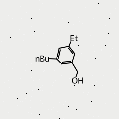 CCCCc1cc(CC)cc(CO)c1